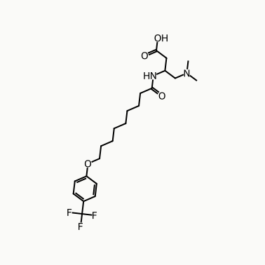 CN(C)CC(CC(=O)O)NC(=O)CCCCCCCCOc1ccc(C(F)(F)F)cc1